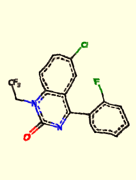 O=c1nc(-c2ccccc2F)c2cc(Cl)ccc2n1CC(F)(F)F